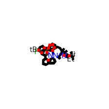 C=C1C(N(C)/C=C(\CC)[Si](C)(C)C)C(C)(C(C)/C=C\C=C/C)CCc2ccc3c(sc4cc(F)ccc43)c2-c2n(-c3c(-c4ccccc4)cc(C(C)(C)C)cc3-c3ccccc3)c3ccccc3[n+]21